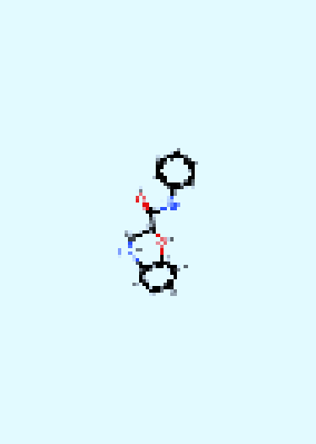 O=C(Nc1ccccc1)C1CNc2ccccc2O1